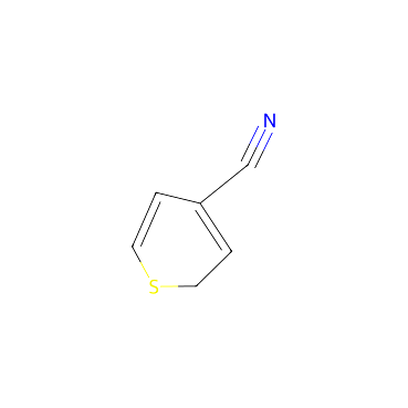 N#CC1=CCSC=C1